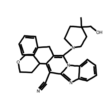 CC1(CO)CCN(c2c(Cc3ccccc3)c(C3CCOCC3)c(C#N)c3nc4ccccc4n23)CC1